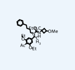 CCOC(=O)C1(NC(=O)N(CCCCc2ccccc2)[C@H](C)c2cc(OCC)c(C(C)=O)c(OCC)c2)CC(OC)C1